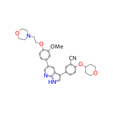 COc1cc(-c2cnc3[nH]cc(-c4ccc(OC5CCOCC5)c(C#N)c4)c3c2)ccc1OCCN1CCOCC1